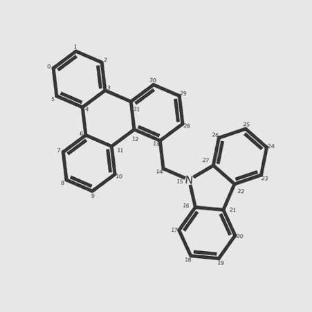 c1ccc2c(c1)c1ccccc1c1c(Cn3c4ccccc4c4ccccc43)cccc21